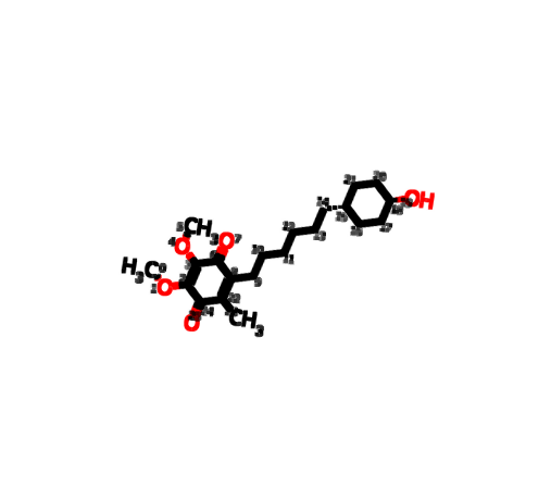 COC1=C(OC)C(=O)C(CCCCCC[C@H]2CC[C@H](O)CC2)=C(C)C1=O